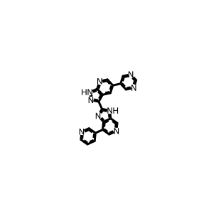 c1cncc(-c2cncc3[nH]c(-c4n[nH]c5ncc(-c6cncnc6)cc45)nc23)c1